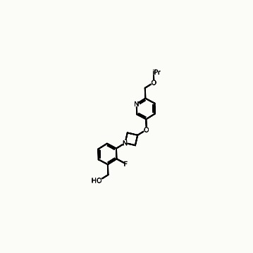 CC(C)OCc1ccc(OC2CN(c3cccc(CO)c3F)C2)cn1